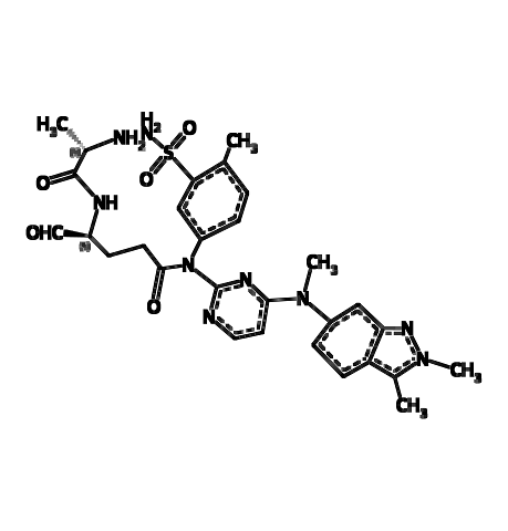 Cc1ccc(N(C(=O)CC[C@@H](C=O)NC(=O)[C@H](C)N)c2nccc(N(C)c3ccc4c(C)n(C)nc4c3)n2)cc1S(N)(=O)=O